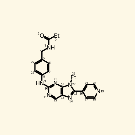 CCC(=O)NCc1ccc(Nc2ncc3nc(-c4ccncc4)n(CC)c3n2)cc1